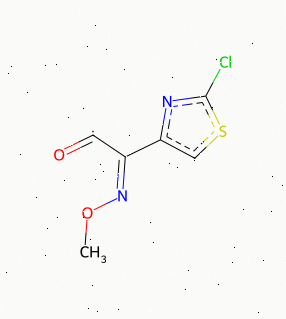 CON=C([C]=O)c1csc(Cl)n1